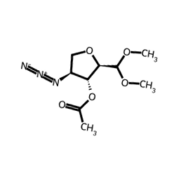 COC(OC)[C@@H]1OC[C@H](N=[N+]=[N-])[C@H]1OC(C)=O